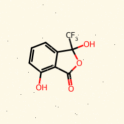 O=C1OC(O)(C(F)(F)F)c2cccc(O)c21